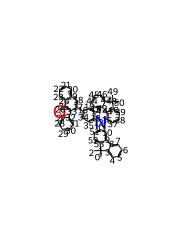 CC1(C)c2ccccc2-c2cc(N(c3ccc(-c4cc5ccccc5c5oc6ccccc6c45)cc3)c3cccc4c3-c3ccccc3C4(C)C)ccc21